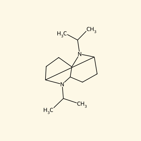 CC(C)N1C2CCC3C1CCC2N3C(C)C